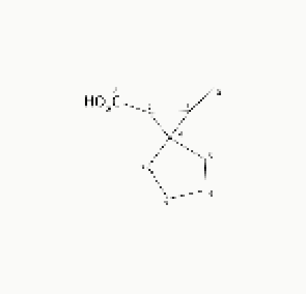 CC1C(C(=O)O)C12CCCC2